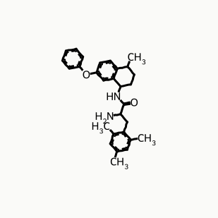 Cc1cc(C)c(CC(N)C(=O)NC2CCC(C)c3ccc(Oc4ccccc4)cc32)c(C)c1